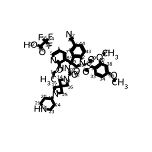 CCOc1ncccc1C1(NC(=O)N2CC3(C2)CN(C2CCNCC2)C3)C(=O)N(S(=O)(=O)c2ccc(OC)cc2OC)c2ccc(C#N)cc21.O=C(O)C(F)(F)F